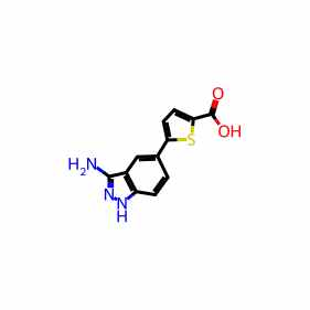 Nc1n[nH]c2ccc(-c3ccc(C(=O)O)s3)cc12